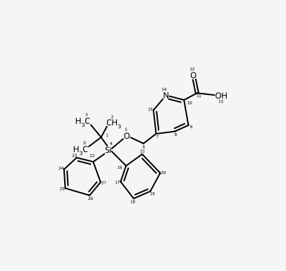 CC(C)(C)[Si](OCc1ccc(C(=O)O)nc1)(c1ccccc1)c1ccccc1